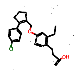 C=C(O)CCc1ccc(OCC2=C(c3ccc(Cl)cc3)CCC2)cc1CC